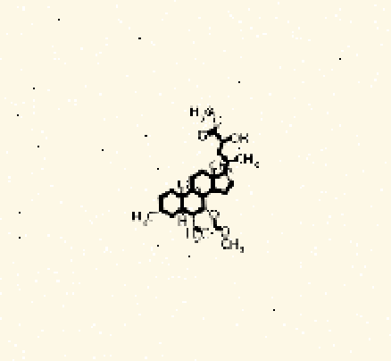 CC[C@H]1[C@@H](OCOC)C2C3CC[C@H]([C@H](C)CC(O)C(=O)OC)[C@@]3(C)CCC2[C@@]2(C)CC[C@@H](C)C[C@@H]12